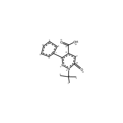 CC(C)(C)n1nc(-c2ccccc2)c(C(=O)O)cc1=O